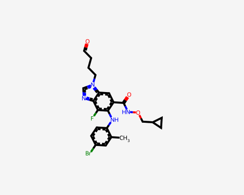 Cc1cc(Br)ccc1Nc1c(C(=O)NOCC2CC2)cc2c(ncn2CCCC=O)c1F